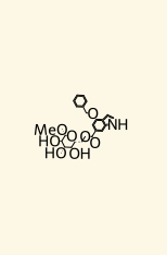 CO[C@@H]1O[C@H](COC(=O)c2cc(OCc3ccccc3)c3cc[nH]c3c2)[C@@H](O)[C@H](O)[C@H]1O